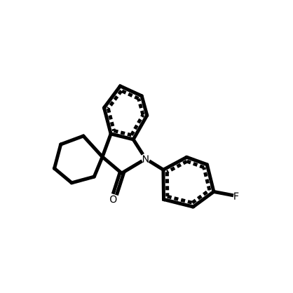 O=C1N(c2ccc(F)cc2)c2ccccc2C12CCCCC2